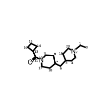 CCN1CCC(CC2CCN(C(=O)C3CCC3)CC2)CC1